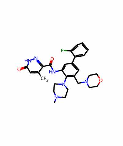 CN1CCN(c2c(CN3CCOCC3)cc(-c3ccccc3F)cc2NC(=O)c2n[nH]c(=O)cc2C(F)(F)F)CC1